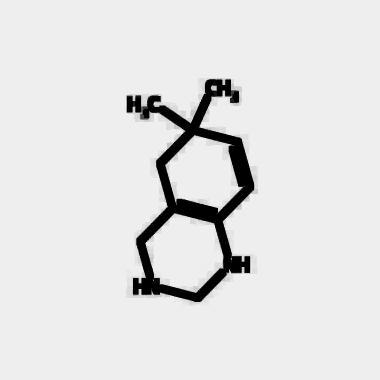 CC1(C)C=CC2=C(CNCN2)C1